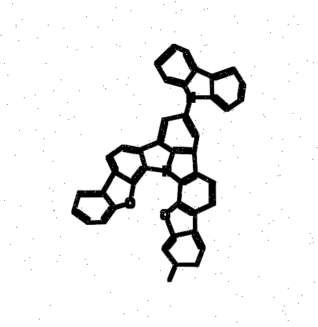 CC1C=c2oc3c(ccc4c5cc(-n6c7ccccc7c7ccccc76)cc6c7ccc8c9ccccc9oc8c7n(c56)c43)c2=CC1